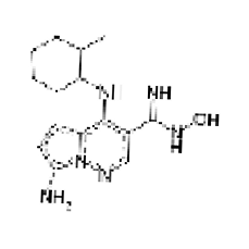 CC1CCCCC1Nc1c(C(=N)NO)cnn2c(N)ccc12